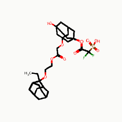 CCC1(OCCOC(=O)COC23CC4CC(O)(C2)CC(OC(=O)C(F)(F)S(=O)(=O)O)(C4)C3)C2CC3CC(C2)CC1C3